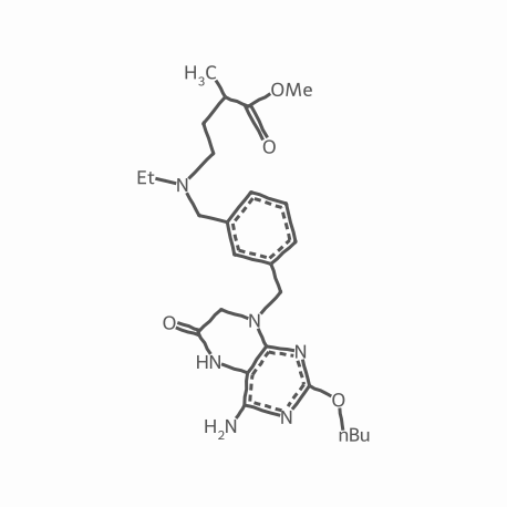 CCCCOc1nc(N)c2c(n1)N(Cc1cccc(CN(CC)CCC(C)C(=O)OC)c1)CC(=O)N2